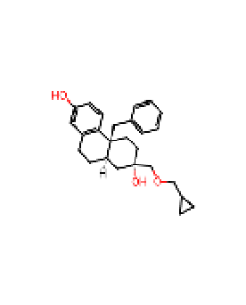 Oc1ccc2c(c1)CC[C@@H]1C[C@@](O)(COCC3CC3)CC[C@@]21Cc1ccccc1